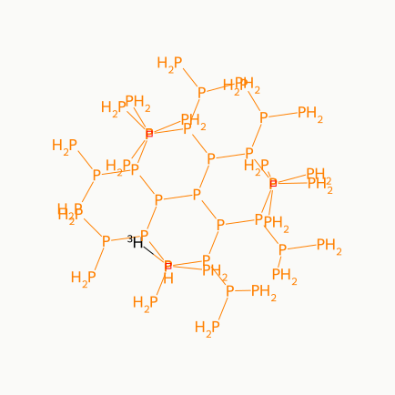 [3H]PP(P(P)P)P(P(P(P)P)P(P)P)P(P(P(P(P)P)P(P)P)P(P(P)P)P(P)P)P(P(P(P)P)P(P)P)P(P(P)P)P(P)P